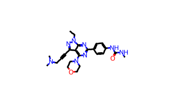 CCn1nc(C#CCN(C)C)c2c(N3CCOCC3)nc(-c3ccc(NC(=O)NC)cc3)nc21